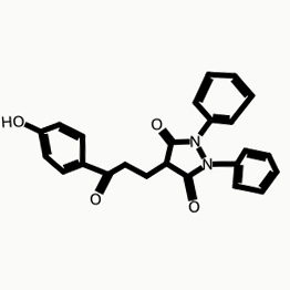 O=C(CCC1C(=O)N(c2ccccc2)N(c2ccccc2)C1=O)c1ccc(O)cc1